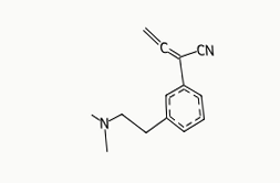 C=C=C(C#N)c1cccc(CCN(C)C)c1